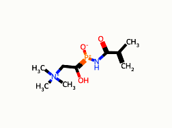 C=C(C)C(=O)N/[P+]([O-])=C(\O)C[N+](C)(C)C